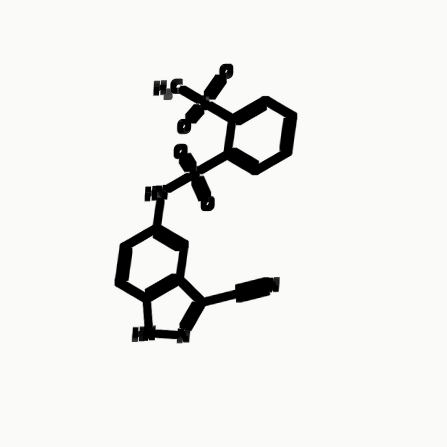 CS(=O)(=O)c1ccccc1S(=O)(=O)Nc1ccc2[nH]nc(C#N)c2c1